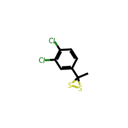 CC1(c2ccc(Cl)c(Cl)c2)SS1